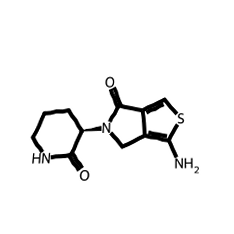 Nc1scc2c1CN([C@@H]1CCCNC1=O)C2=O